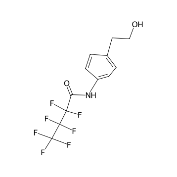 O=C(Nc1ccc(CCO)cc1)C(F)(F)C(F)(F)C(F)(F)F